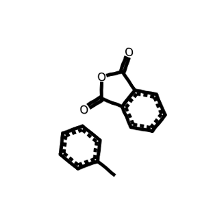 Cc1ccccc1.O=C1OC(=O)c2ccccc21